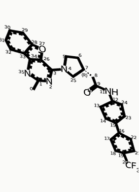 Cc1nc(N2CC[C@H](CC(=O)Nc3ccc(-c4ccc(C(F)(F)F)cc4)cc3)C2)c2oc3ccccc3c2n1